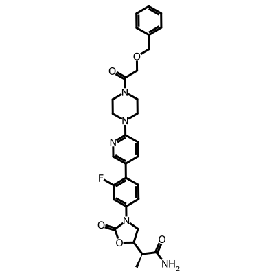 C[C@H](C(N)=O)C1CN(c2ccc(-c3ccc(N4CCN(C(=O)COCc5ccccc5)CC4)nc3)c(F)c2)C(=O)O1